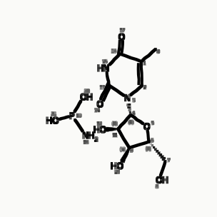 Cc1cn([C@@H]2O[C@H](CO)[C@@H](O)[C@H]2O)c(=O)[nH]c1=O.NP(O)O